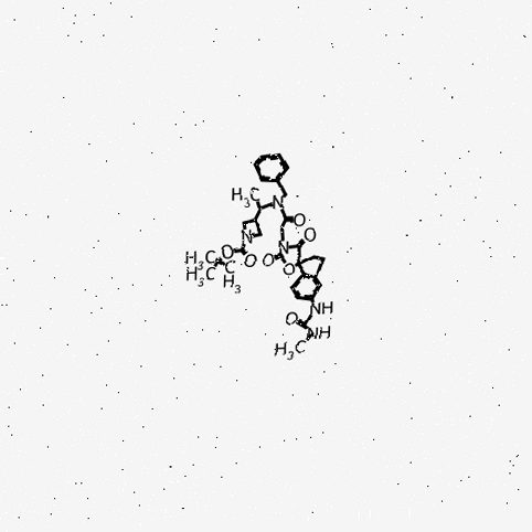 CNC(=O)Nc1ccc2c(c1)CCC21OC(=O)N(CC(=O)N(Cc2ccccc2)C(C)C2CN(C(=O)OC(C)(C)C)C2)C1=O